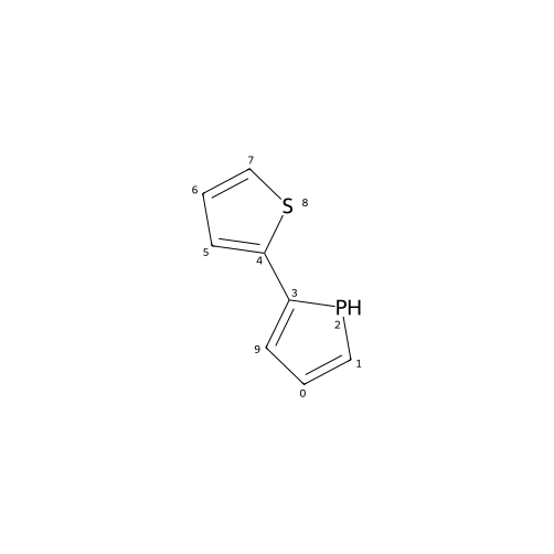 c1c[pH]c(-c2cccs2)c1